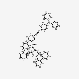 CC1(C)c2cc(C#Cc3ccc(N(c4ccccc4)c4ccccc4)cc3)ccc2-c2ccc3c4ccccc4n(-c4ccc5c6ccccc6c6ccccc6c5c4)c3c21